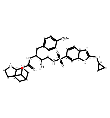 COc1ccc(C[C@H](NC(=O)OC2C3COC4OCC2C4C3)[C@H](O)CNS(=O)(=O)C2=CC3SC(NC4CC4)=NC3C=C2)cc1